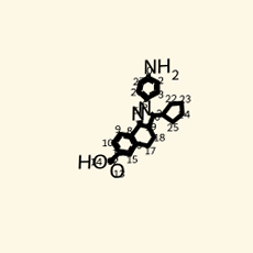 Nc1ccc(N2N=C3c4ccc(C(=O)O)cc4CCC3C2C2CCCC2)cc1